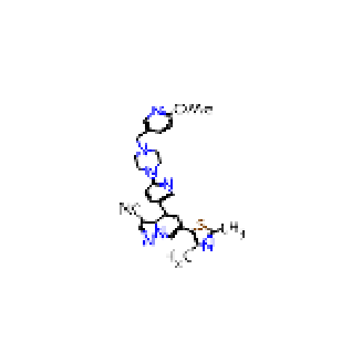 COc1ccc(CN2CCN(c3ccc(-c4cc(-c5sc(C)nc5C)cn5ncc(C#N)c45)cn3)CC2)cn1